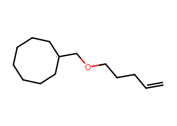 C=CCCCOC[C]1CCCCCCC1